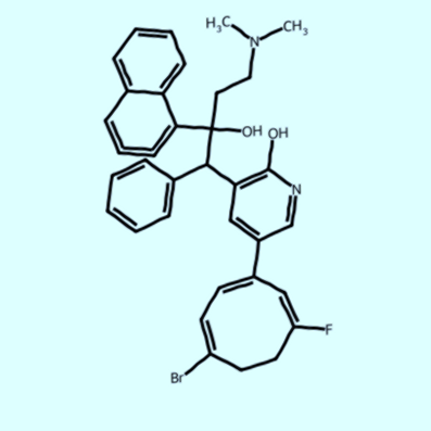 CN(C)CCC(O)(C1=C=C=Cc2ccccc21)C(c1ccccc1)c1cc(C2=C/C=C(/Br)CC/C(F)=C\2)cnc1O